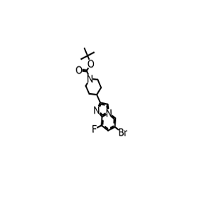 CC(C)(C)OC(=O)N1CCC(c2cn3cc(Br)cc(F)c3n2)CC1